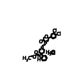 CCOC(=O)NC1(c2ccccc2)CCN(CCN2CC(c3ccc(Cl)c(Cl)c3)OCC2=O)CC1.Cl.O